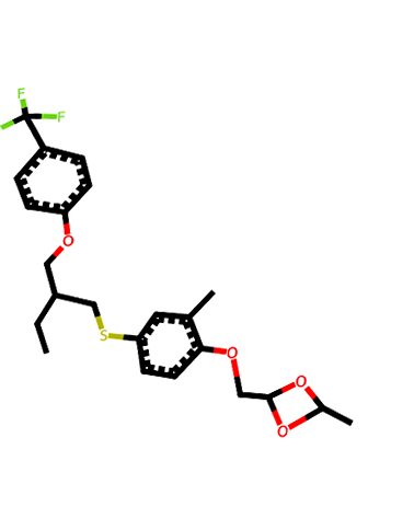 CCC(COc1ccc(C(F)(F)F)cc1)CSc1ccc(OCC2OC(C)O2)c(C)c1